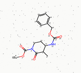 CC1C(=O)N(C(=O)OC(C)(C)C)CCC1NC(=O)OCc1ccccc1